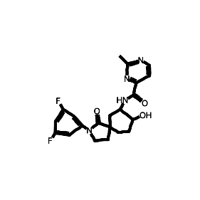 Cc1nccc(C(=O)NC2CC3(CCC2O)CCN(c2cc(F)cc(F)c2)C3=O)n1